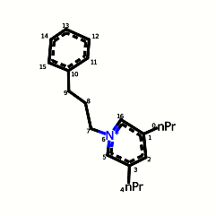 CCCc1cc(CCC)c[n+](CCCc2ccccc2)c1